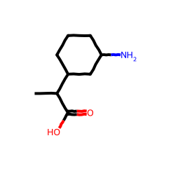 CC(C(=O)O)C1CCCC(N)C1